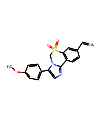 C=Cc1ccc2c(c1)S(=O)(=O)Cn1c(-c3ccc(OC(F)(F)F)cc3)cnc1-2